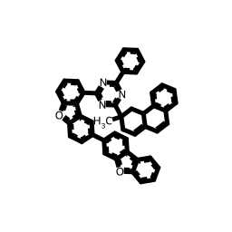 CC1(c2nc(-c3ccccc3)nc(-c3cccc4oc5ccc(-c6ccc7c(c6)oc6ccccc67)cc5c34)n2)CC=C2C=Cc3ccccc3C2C1